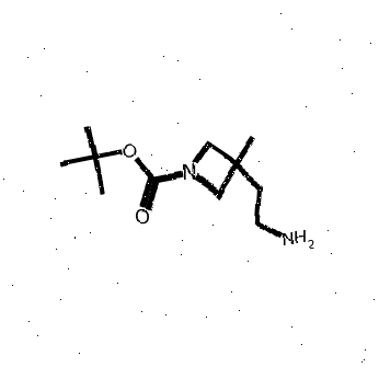 CC1(CCN)CN(C(=O)OC(C)(C)C)C1